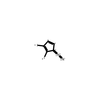 [N-]=[N+]=C1C=CC(I)=C1I